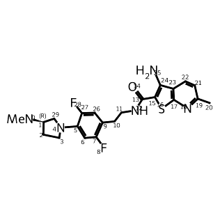 CN[C@@H]1CCN(c2cc(F)c(CCNC(=O)c3sc4nc(C)ccc4c3N)cc2F)C1